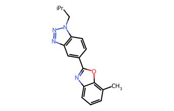 Cc1cccc2nc(-c3ccc4c(c3)nnn4CC(C)C)oc12